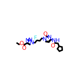 CCOC(=O)c1cn(CC(F)CCn2ccc(NC(=O)CC3CCCC3)nc2=O)nn1